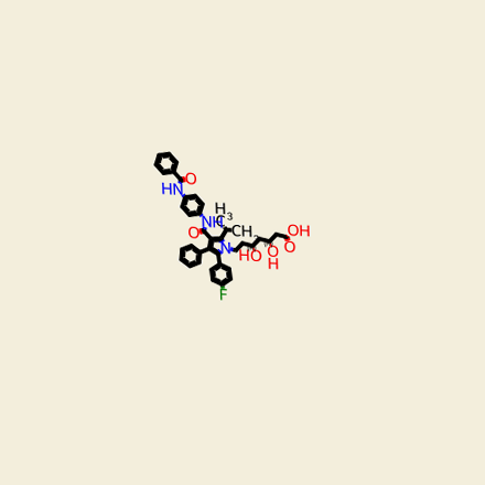 CC(C)c1c(C(=O)Nc2ccc(NC(=O)c3ccccc3)cc2)c(-c2ccccc2)c(-c2ccc(F)cc2)n1CC[C@@H](O)C[C@@H](O)CC(=O)O